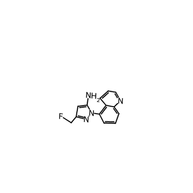 Nc1cc(CF)nn1-c1cccc2ncccc12